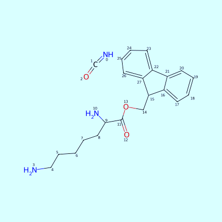 N=C=O.NCCCCCC(N)C(=O)OCC1c2ccccc2-c2ccccc21